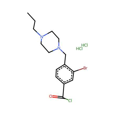 CCCN1CCN(Cc2ccc(C(=O)Cl)cc2Br)CC1.Cl.Cl